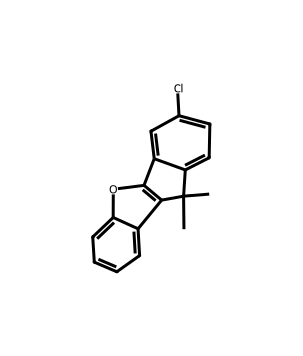 CC1(C)c2ccc(Cl)cc2-c2oc3ccccc3c21